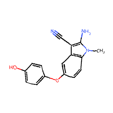 Cn1c(N)c(C#N)c2cc(Oc3ccc(O)cc3)ccc21